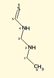 CCNCNC=S